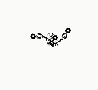 CC1=C(C(=O)OCCCN2CCN(c3ccccc3)CC2)C(c2cccc([N+](=O)[O-])c2)C(C(=O)OCCCN2CCN(c3ccccc3)CC2)=C(C)N1